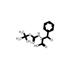 CC(C)(C)OC(=O)N[C@@H](C(=O)O)C(Cl)c1ccccc1